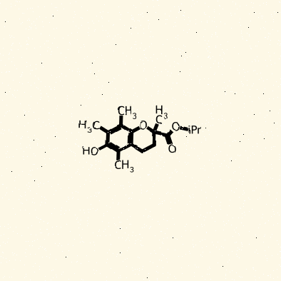 Cc1c(C)c2c(c(C)c1O)CCC(C)(C(=O)OC(C)C)O2